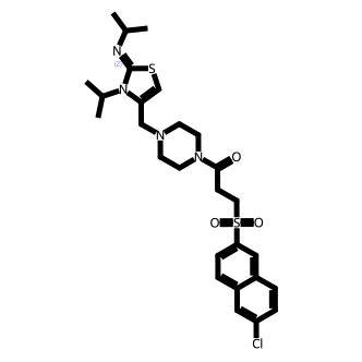 CC(C)/N=c1\scc(CN2CCN(C(=O)CCS(=O)(=O)c3ccc4cc(Cl)ccc4c3)CC2)n1C(C)C